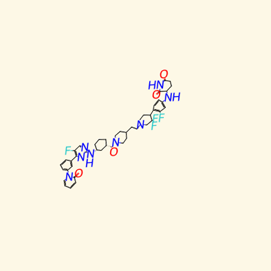 O=C1CCC(Nc2ccc(C3CCN(CCC4CCN(C(=O)[C@H]5CCC[C@@H](Nc6ncc(F)c(-c7cccc(-n8ccccc8=O)c7)n6)C5)CC4)CC3(F)F)c(F)c2)C(=O)N1